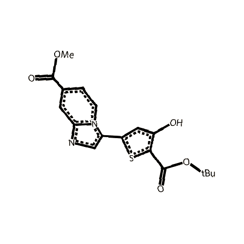 COC(=O)c1ccn2c(-c3cc(O)c(C(=O)OC(C)(C)C)s3)cnc2c1